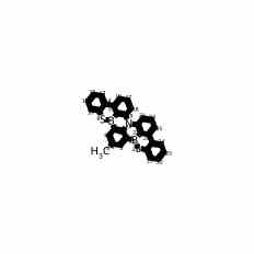 Cc1cc2c3c(c1)B1Sc4ccccc4-c4cccc(c41)N3c1cccc3c1B2Sc1ccccc1-3